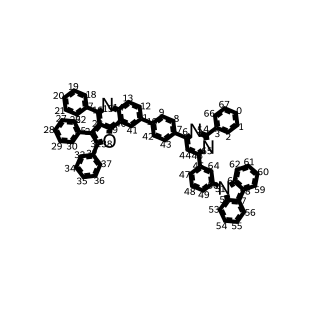 c1ccc(-c2nc(-c3ccc(-c4ccc5nc(-c6ccccc6)c6c(-c7ccccc7)c(-c7ccccc7)oc6c5c4)cc3)cc(-c3cccc(-n4c5ccccc5c5ccccc54)c3)n2)cc1